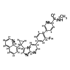 CNC(=O)c1ccc(-c2ccc(-c3cnc4ncc(C5(c6cccc7cccnc67)CC5)n4c3)cc2F)cn1